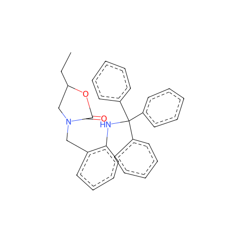 CCC1CN(Cc2ccccc2NC(c2ccccc2)(c2ccccc2)c2ccccc2)C(=O)O1